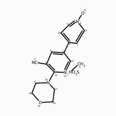 CS(=O)(=O)O.N#Cc1cc(-c2cc[n+]([O-])cc2)cnc1N1CCOCC1